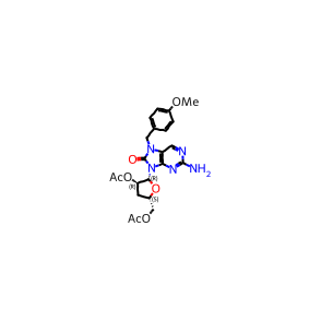 COc1ccc(Cn2c(=O)n([C@@H]3O[C@H](COC(C)=O)C[C@H]3OC(C)=O)c3nc(N)ncc32)cc1